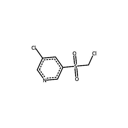 O=S(=O)(CCl)c1cncc(Cl)c1